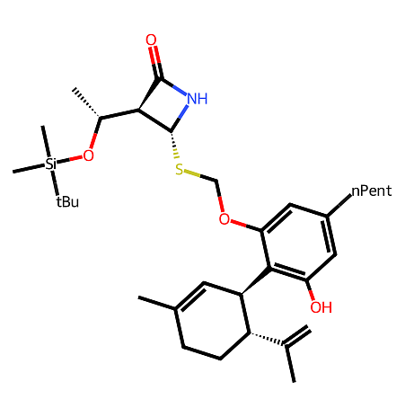 C=C(C)[C@@H]1CCC(C)=C[C@H]1c1c(O)cc(CCCCC)cc1OCS[C@H]1NC(=O)[C@@H]1[C@@H](C)O[Si](C)(C)C(C)(C)C